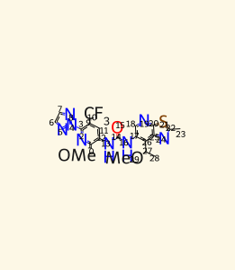 COc1nc(-n2nccn2)c(C(F)(F)F)cc1NC(=O)Nc1cnc2sc(C)nc2c1C(C)OC